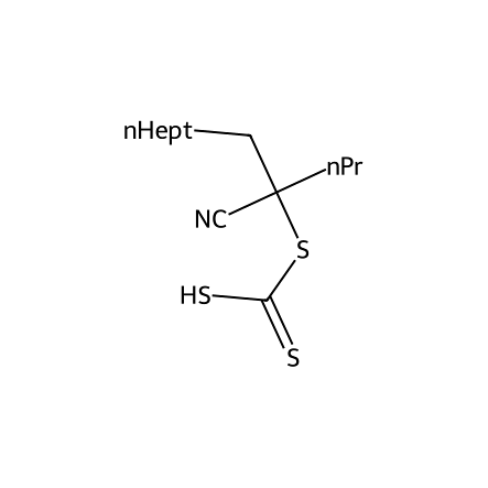 CCCCCCCCC(C#N)(CCC)SC(=S)S